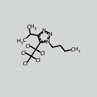 CCCCn1nnc(C(C)C)c1C(Cl)(Cl)C(Cl)(Cl)Cl